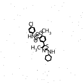 COc1ccc(-c2sc(NC3CCCCC3)nc2C)cc1S(=O)(=O)Nc1ccc(Cl)cc1